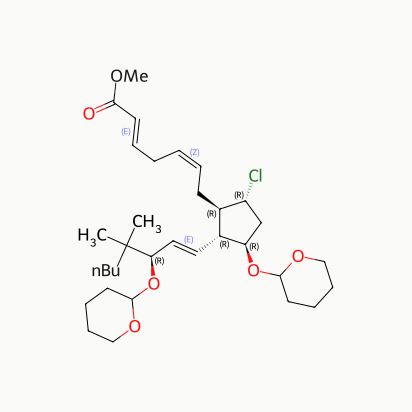 CCCCC(C)(C)[C@@H](/C=C/[C@@H]1[C@@H](C/C=C\C/C=C/C(=O)OC)[C@H](Cl)C[C@H]1OC1CCCCO1)OC1CCCCO1